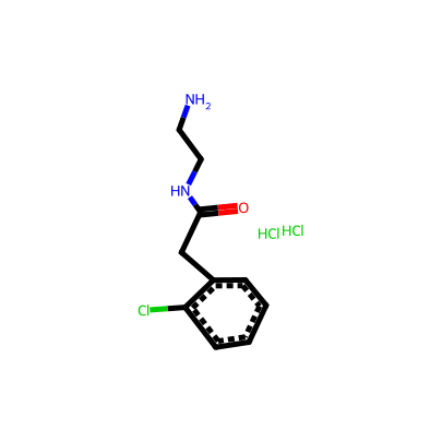 Cl.Cl.NCCNC(=O)Cc1ccccc1Cl